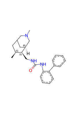 C[C@H]1CC2C[C@@H](CN(C)C2)[C@H]1CNC(=O)Nc1ccccc1-c1ccccc1